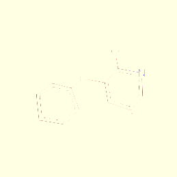 [O]c1ncccc1Oc1ccccc1